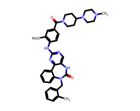 COc1cc(C(=O)N2CCC(N3CCN(C)CC3)CC2)ccc1Nc1ncc2c(n1)-c1ccccc1N(Cc1ccccc1C)C(=O)N2